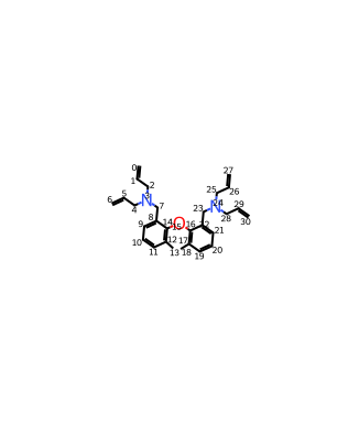 C=CCN(CC=C)Cc1cccc(C)c1Oc1c(C)cccc1CN(CC=C)CC=C